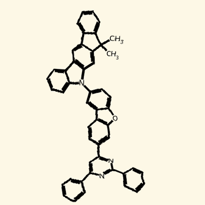 CC1(C)c2ccccc2-c2cc3c4ccccc4n(-c4ccc5oc6cc(-c7cc(-c8ccccc8)nc(-c8ccccc8)n7)ccc6c5c4)c3cc21